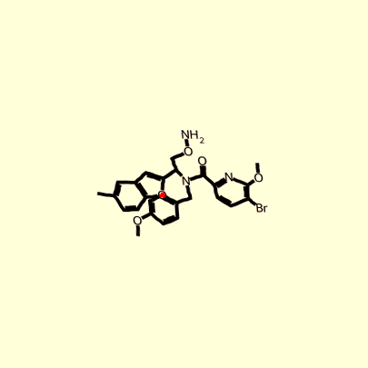 COc1ccc(CN(C(=O)c2ccc(Br)c(OC)n2)C(CON)c2cc3cc(C)ccc3o2)cc1